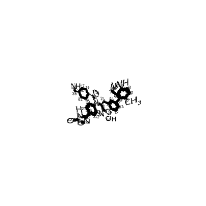 Cc1ccc2[nH]ncc2c1-c1cccc(C[C@@H](C(N)=O)N(c2ccc(-c3noc(=O)[nH]3)cc2)C(=O)[C@H]2CC[C@H](CN)CC2)c1.Cl